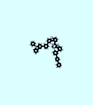 c1ccc(-c2ccc(-c3cccc(-c4cccc5oc6c(-c7cccc8oc9ccc(-c%10cccc(-c%11ccc%12c(c%11)c%11ccccc%11n%12-c%11ccccc%11)c%10)cc9c78)ncnc6c45)c3)cc2)cc1